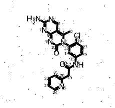 Cc1c2cnc(N)nc2nc(=O)n1-c1cc(NC(=O)Cc2ccccn2)ccc1Cl